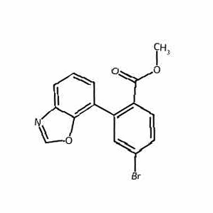 COC(=O)c1ccc(Br)cc1-c1cccc2ncoc12